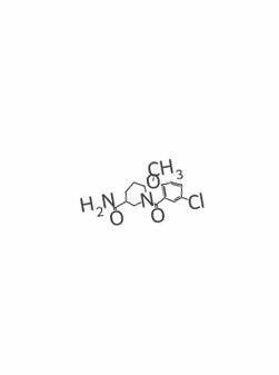 COc1ccc(Cl)cc1C(=O)N1CCCC(C(N)=O)C1